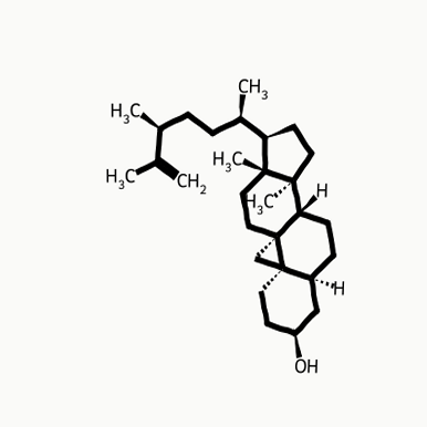 C=C(C)[C@@H](C)CC[C@@H](C)[C@H]1CC[C@@]2(C)[C@@H]3CC[C@H]4C[C@@H](O)CC[C@@]45C[C@]35CC[C@]12C